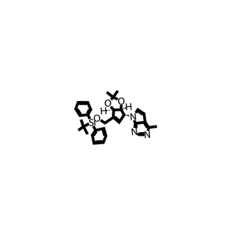 Cc1ncnc2c1ccn2[C@@H]1C=C(CO[Si](c2ccccc2)(c2ccccc2)C(C)(C)C)[C@H]2OC(C)(C)O[C@H]21